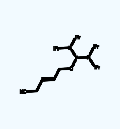 CC(C)N(C(C)C)P(OCC=CCC#N)N(C(C)C)C(C)C